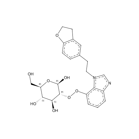 OC[C@H]1O[C@@H](O)[C@H](OOc2cccc3ncn(CCc4ccc5c(c4)CCO5)c23)[C@@H](O)[C@@H]1O